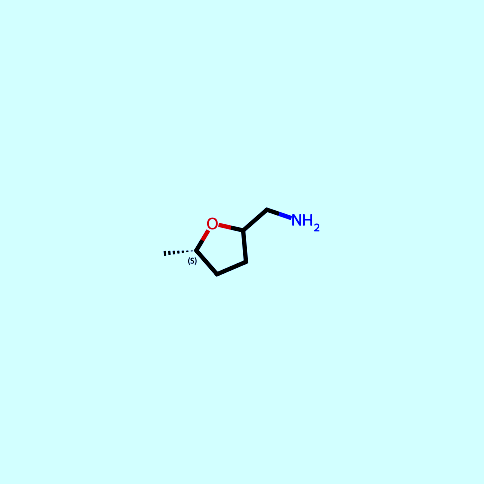 C[C@H]1CCC(CN)O1